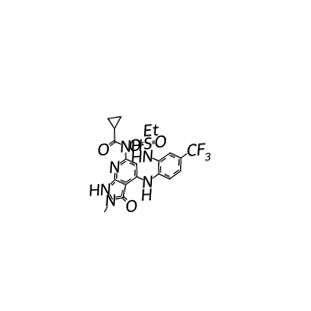 CCS(=O)(=O)Nc1cc(C(F)(F)F)ccc1Nc1cc(NC(=O)C2CC2)nc2[nH]n(C)c(=O)c12